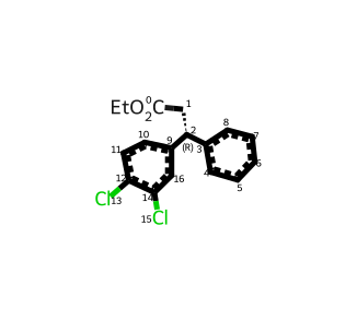 CCOC(=O)C[C@H](c1ccccc1)c1ccc(Cl)c(Cl)c1